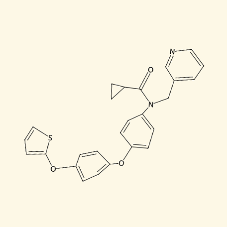 O=C(C1CC1)N(Cc1cccnc1)c1ccc(Oc2ccc(Oc3cccs3)cc2)cc1